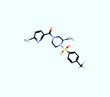 Cc1ccc(C(=O)N2CCN(S(=O)(=O)c3ccc(C(F)(F)F)cc3)[C@H](C)C2)cn1